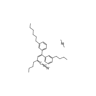 CCCCCCc1cccc(C(=CC(=C=[N+]=[N-])CCCC)c2cccc(CCCC)c2)c1.[CH3][Ni][CH3]